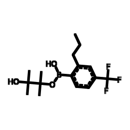 CCCc1cc(C(F)(F)F)ccc1B(O)OC(C)(C)C(C)(C)O